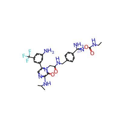 CCNC(=O)O/N=C(\N)c1ccc(CNC(=O)Cn2c(-c3cc(N)cc(C(F)(F)F)c3)cnc(NC(C)C)c2=O)cc1